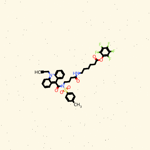 C#CC[n+]1c2ccccc2c(C(=O)N(CCCC(=O)NCCCCCC(=O)Oc2c(F)c(F)c(F)c(F)c2F)S(=O)(=O)c2ccc(C)cc2)c2ccccc21